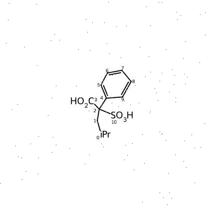 CC(C)CC(C(=O)O)(c1ccccc1)S(=O)(=O)O